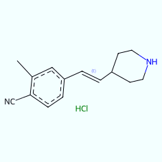 Cc1cc(/C=C/C2CCNCC2)ccc1C#N.Cl